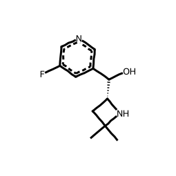 CC1(C)C[C@H](C(O)c2cncc(F)c2)N1